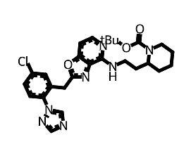 CC(C)(C)OC(=O)N1CCCCC1CCNc1nccc2oc(Cc3cc(Cl)ccc3-n3cncn3)nc12